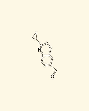 O=Cc1ccc2nc(C3CC3)ccc2c1